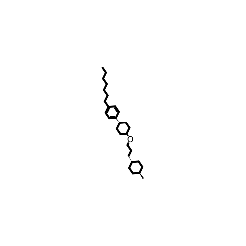 CCCCCCCc1ccc([C@H]2CC[C@H](OCCC[C@H]3CC[C@H](C)CC3)CC2)cc1